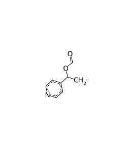 [CH2]C(OC=O)c1ccncc1